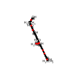 CC(C)(C)OC(=O)CCCCCCCCCCCCCCCCC(=O)NC(CCC(=O)NCCOCCOCC(=O)NCCOCCOCC(=O)NCC[N+](C)(C)CCCCCC(=O)O)C(=O)OC(C)(C)C